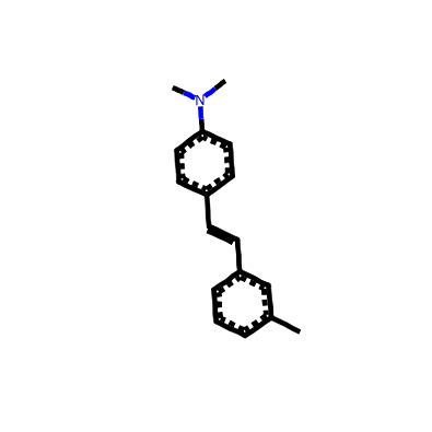 Cc1cccc(/C=C/c2ccc(N(C)C)cc2)c1